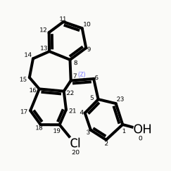 Oc1cccc(/C=C2/c3ccccc3CCc3ccc(Cl)cc32)c1